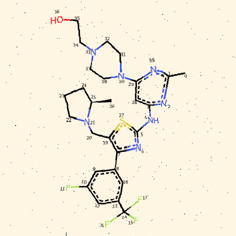 Cc1nc(Nc2nc(-c3cc(F)cc(C(F)(F)F)c3)c(CN3CCC[C@H]3C)s2)cc(N2CCN(CCO)CC2)n1